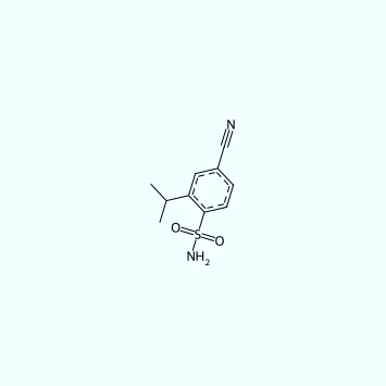 CC(C)c1cc(C#N)ccc1S(N)(=O)=O